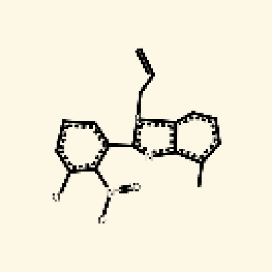 C=CCn1c(-c2cccc(Cl)c2[N+](=O)[O-])nc2c(C)cccc21